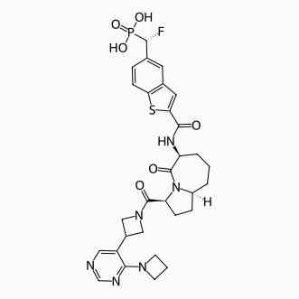 O=C(N[C@H]1CCC[C@H]2CC[C@@H](C(=O)N3CC(c4cncnc4N4CCC4)C3)N2C1=O)c1cc2cc([C@@H](F)P(=O)(O)O)ccc2s1